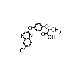 C[C@H](Oc1ccc(Oc2cnc3cc(Cl)ccc3n2)cc1)C(=O)O